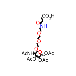 CC(=O)N[C@H]1C(OCCOCCOCCNC(=O)CCC(=O)O)O[C@H](COC(C)=O)[C@H](OC(C)=O)[C@@H]1OC(C)=O